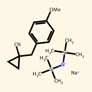 COc1ccc(CC2(C#N)CC2)cc1.C[Si](C)(C)[N-][Si](C)(C)C.[Na+]